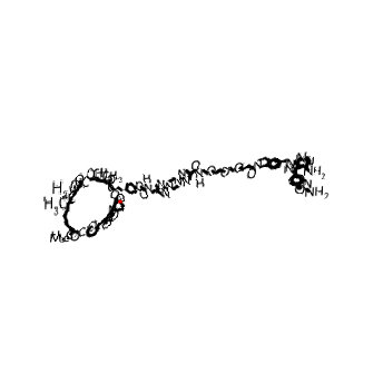 CO[C@H]1CC2CCCC(O2)C(=O)C(=O)N2CCCC[C@H]2C(=O)O[C@H](CC[C@H]2CC[C@H](OC(=O)NCc3cnc(N4CCN(c5ncc(C(=O)NCCOCCOCCOCCC(=O)N6CCc7cc(Cn8nc(-c9ccc%10oc(N)nc%10c9)c9c(N)ncnc98)ccc7C6)cn5)CC4)nc3)CC2)CC(=O)[C@H](C)/C=C(\C)[C@@H](O)CC(=O)[C@H](C)C[C@H](C)/C=C/C=C/C=C/1C